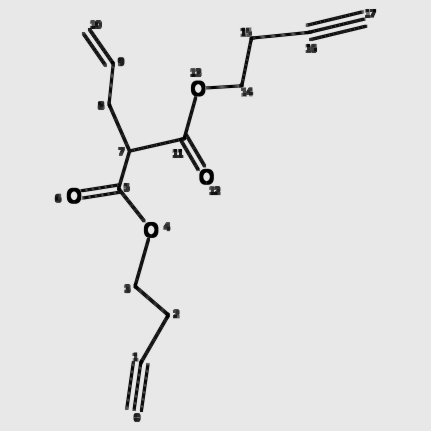 C#CCCOC(=O)C(CC=C)C(=O)OCCC#C